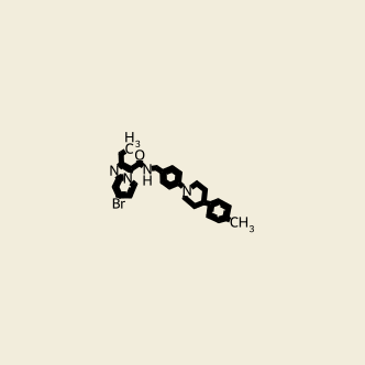 CCc1nc2cc(Br)ccn2c1C(=O)NCc1ccc(N2CCC(c3ccc(C)cc3)CC2)cc1